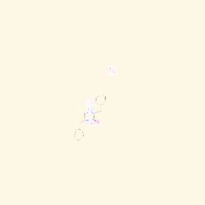 CN(C)CCSCc1ccc(/C=c2\[nH]c(=O)/c(=C/c3ccccc3)[nH]c2=O)cc1